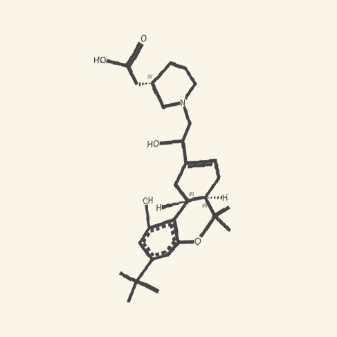 CC(C)(C)c1cc(O)c2c(c1)OC(C)(C)[C@@H]1CC=C(C(O)CN3CCC[C@@H](CC(=O)O)C3)C[C@@H]21